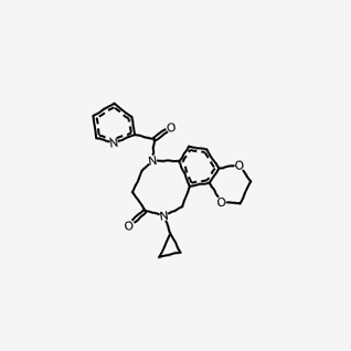 O=C(c1ccccn1)N1CCC(=O)N(C2CC2)Cc2c1ccc1c2OCCO1